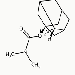 CN(C)C(=O)O[C@]12CC3CC(C1)[C@@H](N)C(C3)C2